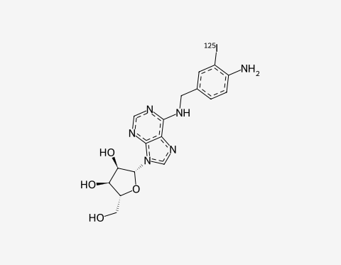 Nc1ccc(CNc2ncnc3c2ncn3[C@@H]2O[C@H](CO)[C@@H](O)[C@H]2O)cc1[125I]